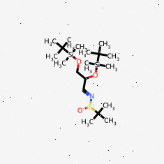 CC(C)(C)[S+]([O-])N=CC(CO[Si](C)(C)C(C)(C)C)O[Si](C)(C)C(C)(C)C